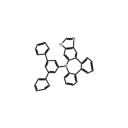 c1ccc(-c2cc(-c3ccccc3)cc(N3c4ccccc4-c4ccccc4-c4cc5ncoc5cc43)c2)cc1